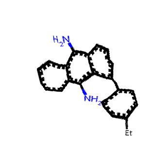 CCc1ccc(-c2cccc3c(N)c4ccccc4c(N)c23)cc1